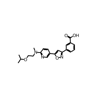 CC(C)OCCN(C)c1ccc(-c2cc(-c3cccc(C(=O)O)c3)no2)cn1